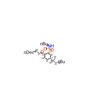 CC[CH]CNS(=O)(=O)c1cc(C(C)(C)CC(C)(C)C)ccc1OCCCCCCCCCCCC